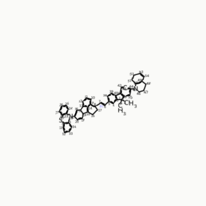 CC1(C)c2cc(/C=C/C3=c4cccc5c4=C(CC3)C3C=CC(N4c6ccccc6Sc6ccccc64)=CC53)ccc2-c2ccc(N3CCCC4=C3CCC=C4)cc21